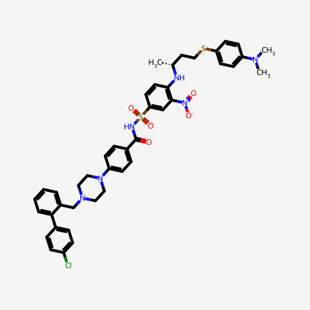 C[C@H](CCSc1ccc(N(C)C)cc1)Nc1ccc(S(=O)(=O)NC(=O)c2ccc(N3CCN(Cc4ccccc4-c4ccc(Cl)cc4)CC3)cc2)cc1[N+](=O)[O-]